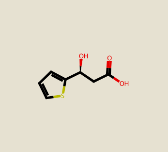 O=C(O)C[C@H](O)c1cccs1